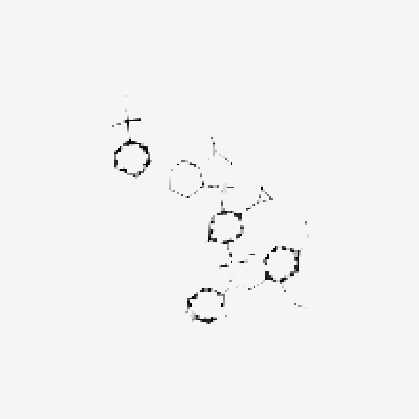 COc1ccc(CN(c2ccncn2)S(=O)(=O)c2cc(C3CC3)c(N[C@H]3CC[C@H](c4cccc(C(F)(F)F)c4)C[C@@H]3N(C)C)cc2F)c(OC)c1